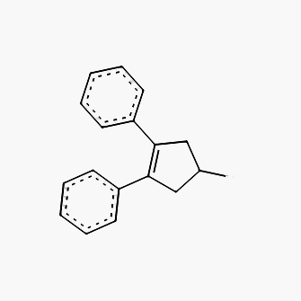 BrC1CC(c2ccccc2)=C(c2ccccc2)C1